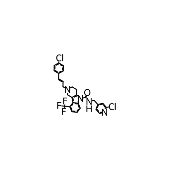 O=C(NCc1ccnc(Cl)c1)n1c2c(c3c(C(F)(F)F)cccc31)CN(CC=Cc1ccc(Cl)cc1)CC2